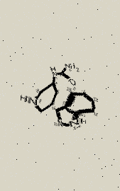 NC(=O)NC1CCCNC1.c1ccc2[nH]ncc2c1